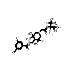 BC1(O)CN(CC(=O)NC(C)(C(O)(O)O)C(O)(O)O)CC(B)(O)C1CNC(=O)c1cc(F)cc(Cl)c1